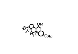 CC(=O)O[C@H]1CC[C@@]2(C)C(C1)C[C@H](O)C1C2CC[C@@]2(C)C1CC[C@@H]2C(C)C